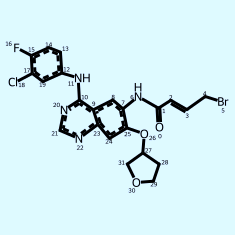 O=C(/C=C/CBr)Nc1cc2c(Nc3ccc(F)c(Cl)c3)ncnc2cc1OC1CCOC1